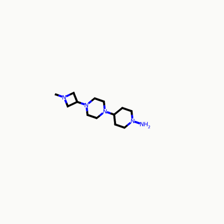 CN1CC(N2CCN(C3CCN(N)CC3)CC2)C1